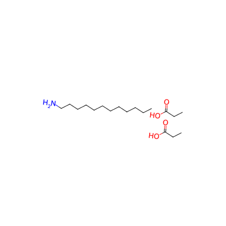 CCC(=O)O.CCC(=O)O.CCCCCCCCCCCCN